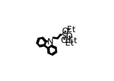 CCO[Si](CCCn1c2ccccc2c2ccccc21)(OCC)OCC